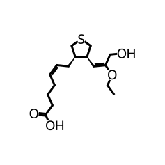 CCO/C(=C/[C@@H]1CSC[C@@H]1C/C=C\CCCC(=O)O)CO